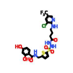 O=C(CCCNc1ncc(C(F)(F)F)cc1Cl)NNS(=O)(=O)c1ccc(CNC(=O)c2ccc(O)cc2O)s1